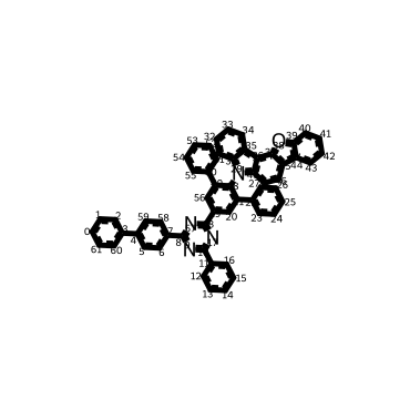 c1ccc(-c2ccc(-c3nc(-c4ccccc4)nc(-c4cc(-c5ccccc5)c(-n5c6ccccc6c6c7oc8ccccc8c7ccc65)c(-c5ccccc5)c4)n3)cc2)cc1